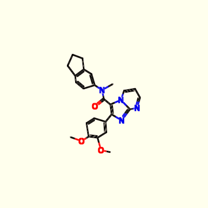 COc1ccc(-c2nc3ncccn3c2C(=O)N(C)c2ccc3c(c2)CCC3)cc1OC